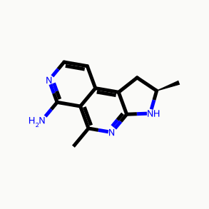 Cc1nc2c(c3ccnc(N)c13)C[C@@H](C)N2